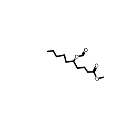 CCCCCC(CCCC(=O)OC)OC=O